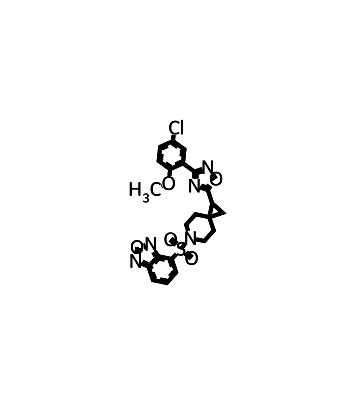 COc1ccc(Cl)cc1-c1noc(C2CC23CCN(S(=O)(=O)c2cccc4nonc24)CC3)n1